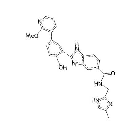 COc1ncccc1-c1ccc(O)c(-c2nc3cc(C(=O)NCc4nc(C)c[nH]4)ccc3[nH]2)c1